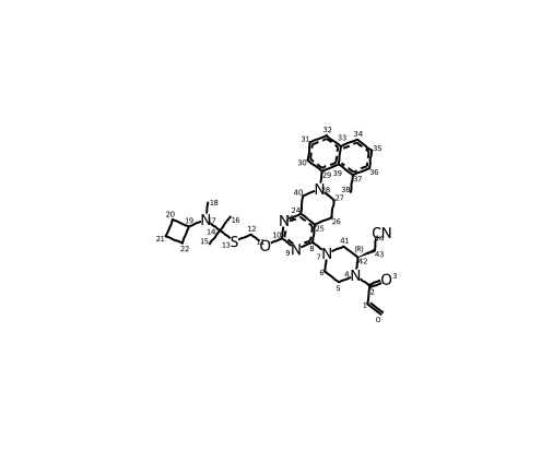 C=CC(=O)N1CCN(c2nc(OCSC(C)(C)N(C)C3CCC3)nc3c2CCN(c2cccc4cccc(C)c24)C3)C[C@H]1CC#N